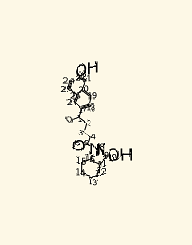 CC(CCCC(=O)N1N=C(O)C2CCCCC21)c1ccc2cc(O)ccc2c1